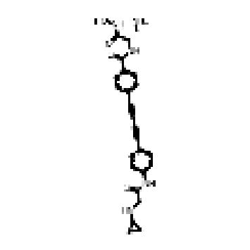 NC[C@H](NC(=O)c1ccc(C#CC#Cc2ccc(NC(=O)CNC3CC3)cc2)cc1)C(=O)NO